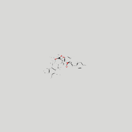 COc1c(C)cc2c(c1O)[C@@H]1C3[C@@H]4SC[C@H](NC(=O)/C=C/c5ccc(C(F)(F)F)cc5)C(=O)OC[C@@H](c5c6c(c(C)c(OC(C)=O)c54)OCO6)N3[C@@H](C#N)[C@H](C2)N1C